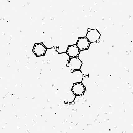 COc1ccc(NC(=O)Cn2c(=O)c(CNc3ccccc3)cc3cc4c(cc32)OCCO4)cc1